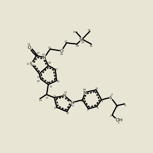 CC(CO)Sc1ccc(-n2ccc(C(C)c3ccc4c(c3)sc(=O)n4COCC[Si](C)(C)C)n2)nc1